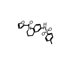 Cc1ccc(S(=O)(=O)Nc2ccc3c(c2)CCCN3C(=O)c2ccco2)cc1